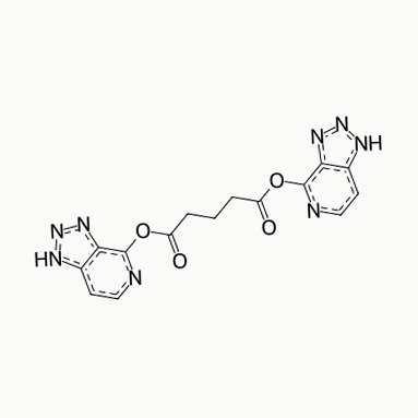 O=C(CCCC(=O)Oc1nccc2[nH]nnc12)Oc1nccc2[nH]nnc12